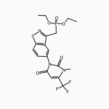 CCOP(=O)(Cc1nsc2ccc(-n3c(=O)cc(C(F)(F)F)n(C)c3=O)cc12)OCC